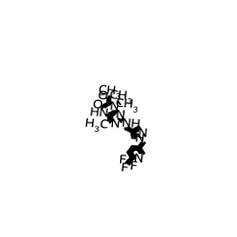 CO[C@H](C)C1C(=O)Nc2c(C)nc(NCc3cnn(Cc4ccc(C(F)(F)F)nc4)c3)nc2N1C